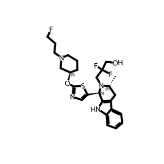 C[C@@H]1Cc2c([nH]c3ccccc23)[C@@H](c2cnc(O[C@@H]3CCCN(CCCF)C3)s2)N1CC(F)(F)CO